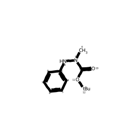 CN(Nc1ccccc1)C(=O)OC(C)(C)C